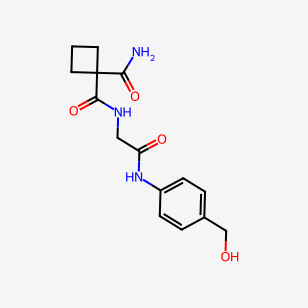 NC(=O)C1(C(=O)NCC(=O)Nc2ccc(CO)cc2)CCC1